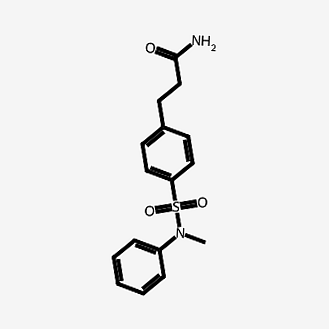 CN(c1ccccc1)S(=O)(=O)c1ccc(CCC(N)=O)cc1